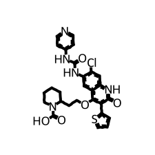 O=C(Nc1ccncc1)Nc1cc2c(OCCC3CCCCN3C(=O)O)c(-c3cccs3)c(=O)[nH]c2cc1Cl